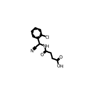 N#CC(NC(=O)CCC(=O)O)c1ccccc1Cl